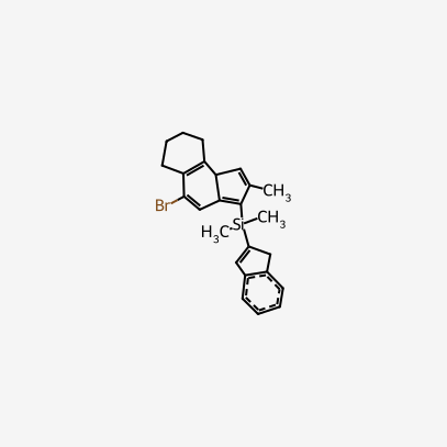 CC1=CC2C(=C1[Si](C)(C)C1=Cc3ccccc3C1)C=C(Br)C1=C2CCCC1